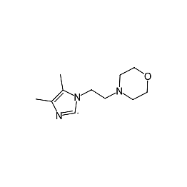 Cc1n[c]n(CCN2CCOCC2)c1C